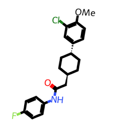 COc1ccc([C@H]2CC[C@H](CC(=O)Nc3ccc(F)cc3)CC2)cc1Cl